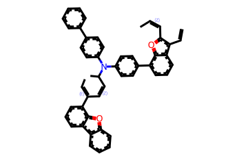 C=Cc1c(/C=C\C)oc2c(-c3ccc(N(c4ccc(-c5ccccc5)cc4)C(C)/C=C\C(=C/C)c4cccc5c4oc4ccccc45)cc3)cccc12